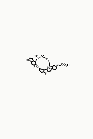 CC1(C)COCCC(c2cccc(CCC(=O)O)c2)n2nccc2-c2cc(ccc2F)Oc2c(F)cc3[nH]ccc3c2C[S+]([O-])C1